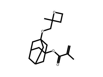 C=C(C)C(=O)OC12CC3CC(CC(OCC4(C)CCO4)(C3)C1)C2